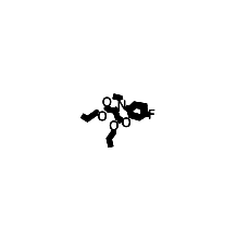 CCCOC(=O)C(C(=O)OCCC)N(CC)C1=C=C=C(F)C=C1